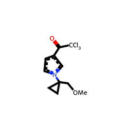 COCC1(n2ccc(C(=O)C(Cl)(Cl)Cl)c2)CC1